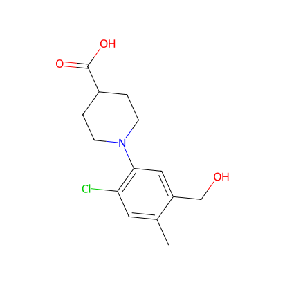 Cc1cc(Cl)c(N2CCC(C(=O)O)CC2)cc1CO